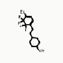 CCCC1CCC(CCC2=CC=C(CC)C(F)(F)C2(F)F)CC1